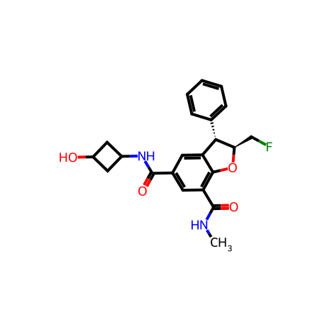 CNC(=O)c1cc(C(=O)NC2CC(O)C2)cc2c1O[C@H](CF)[C@H]2c1ccccc1